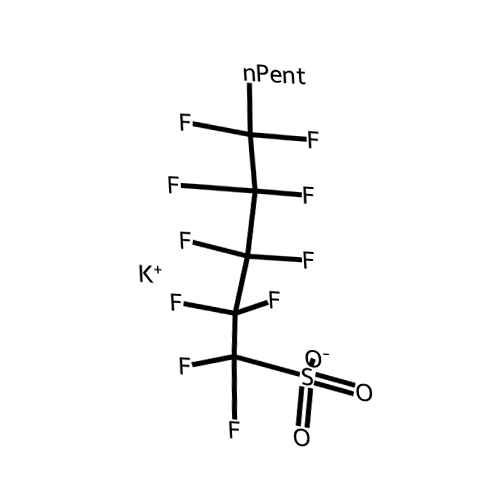 CCCCCC(F)(F)C(F)(F)C(F)(F)C(F)(F)C(F)(F)S(=O)(=O)[O-].[K+]